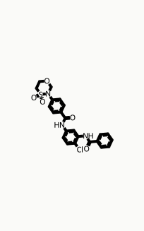 O=C(Nc1ccc(Cl)c(NC(=O)c2ccccc2)c1)c1ccc(N2COCCS2(=O)=O)cc1